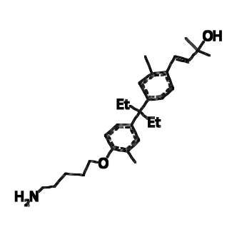 CCC(CC)(c1ccc(C=CC(C)(C)O)c(C)c1)c1ccc(OCCCCCN)c(C)c1